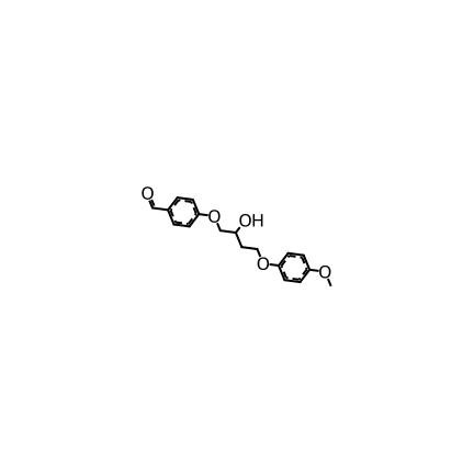 COc1ccc(OCCC(O)COc2ccc(C=O)cc2)cc1